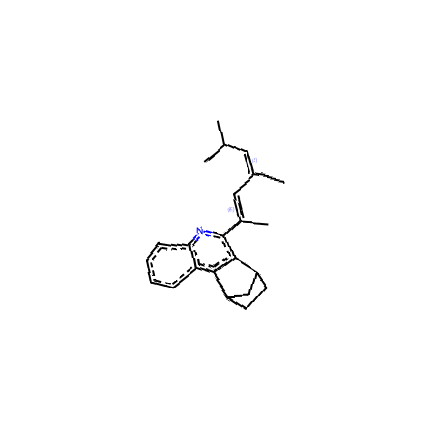 CC(=C/C(C)C)/C=C(\C)c1nc2ccccc2c2c1C1CCC2C1